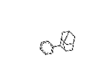 c1ccc(C2[C]3CC4CC(C3)CC2C4)cc1